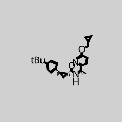 C[C@@H](NC(=O)[C@@H]1C[C@H]1c1ccc(C(C)(C)C)cc1)c1ccc(OCC2CC2)cn1